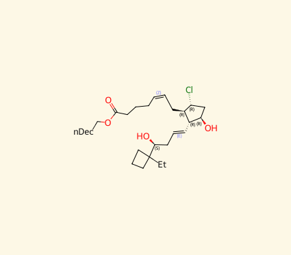 CCCCCCCCCCCOC(=O)CCC/C=C\C[C@@H]1[C@@H](/C=C/C[C@H](O)C2(CC)CCC2)[C@H](O)C[C@H]1Cl